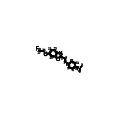 CN(C)c1ccc(C=Cc2nc3ccc(OCCF)cc3o2)cc1